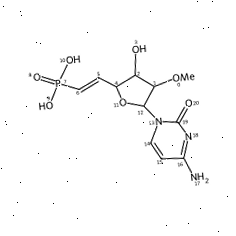 COC1C(O)C(/C=C/P(=O)(O)O)OC1n1ccc(N)nc1=O